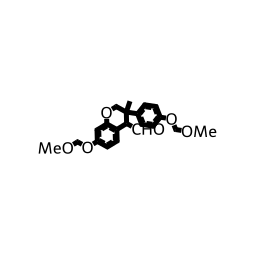 COCOc1ccc(C2(C)COc3cc(OCOC)ccc3C2C=O)cc1